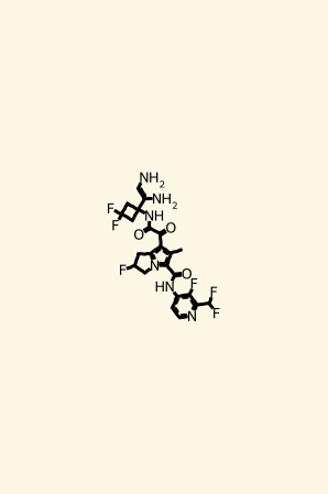 Cc1c(C(=O)C(=O)NC2(/C(N)=C/N)CC(F)(F)C2)c2n(c1C(=O)Nc1ccnc(C(F)F)c1F)CC(F)C2